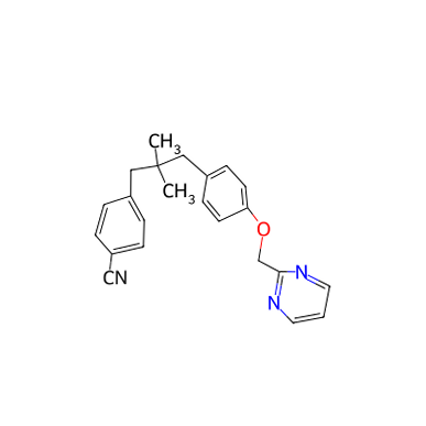 CC(C)(Cc1ccc(C#N)cc1)Cc1ccc(OCc2ncccn2)cc1